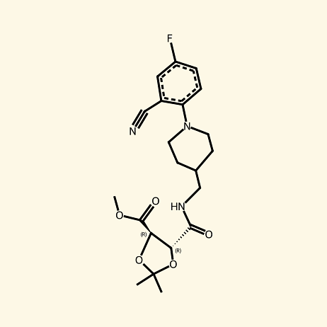 COC(=O)[C@@H]1OC(C)(C)O[C@H]1C(=O)NCC1CCN(c2ccc(F)cc2C#N)CC1